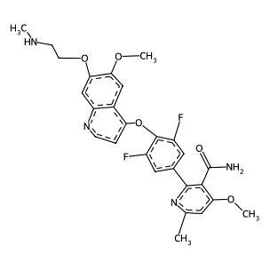 CNCCOc1cc2nccc(Oc3c(F)cc(-c4nc(C)cc(OC)c4C(N)=O)cc3F)c2cc1OC